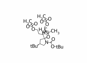 C[SiH](C)O[C@]1(C(CCOS(C)(=O)=O)CCOS(C)(=O)=O)C[C@H](C(C)(C)C)CN1C(=O)OC(C)(C)C